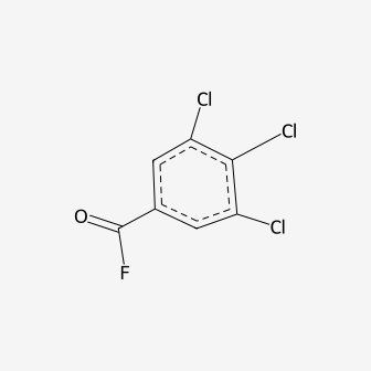 O=C(F)c1cc(Cl)c(Cl)c(Cl)c1